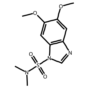 COc1cc2ncn(S(=O)(=O)N(C)C)c2cc1OC